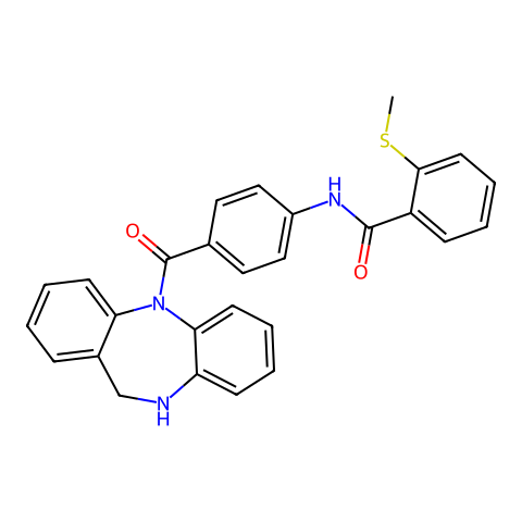 CSc1ccccc1C(=O)Nc1ccc(C(=O)N2c3ccccc3CNc3ccccc32)cc1